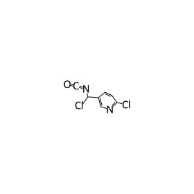 O=C=NC(Cl)c1ccc(Cl)nc1